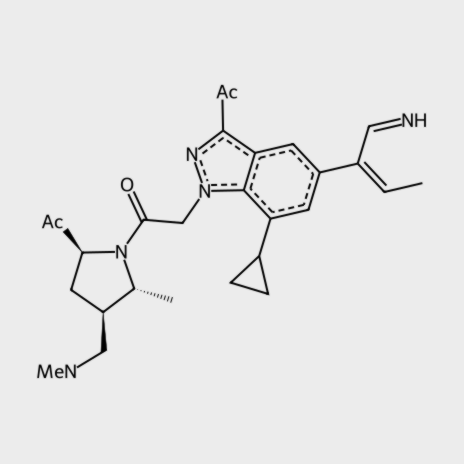 C/C=C(\C=N)c1cc(C2CC2)c2c(c1)c(C(C)=O)nn2CC(=O)N1[C@H](C)[C@@H](CNC)C[C@H]1C(C)=O